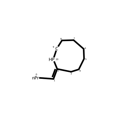 CCCC=C1CCCCCCCP1